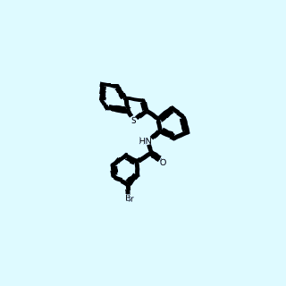 O=C(Nc1ccccc1-c1cc2ccccc2s1)c1cccc(Br)c1